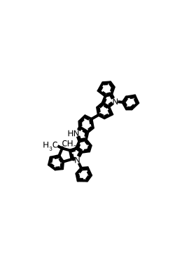 CC1(C)c2ccccc2-c2c1c1c3[nH]c4ccc(-c5ccc6c(c5)c5ccccc5n6-c5ccccc5)cc4c3ccc1n2-c1ccccc1